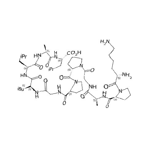 CC[C@H](C)[C@H](NC(=O)CNC(=O)[C@@H]1CCCN1C(=O)[C@@H]1CCCN1C(=O)CNC(=O)[C@H](C)NC(=O)[C@@H]1CCCN1C(=O)[C@@H](N)CCCCN)C(=O)N[C@@H](CC(C)C)C(=O)N[C@@H](C)C(=O)N[C@@H](CC(C)C)C(=O)O